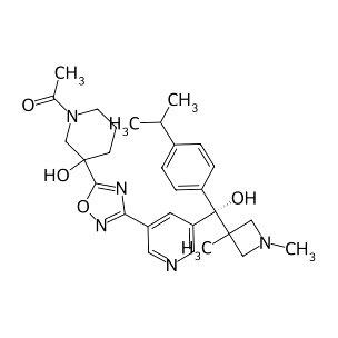 CC(=O)N1CCCC(O)(c2nc(-c3cncc([C@@](O)(c4ccc(C(C)C)cc4)C4(C)CN(C)C4)c3)no2)C1